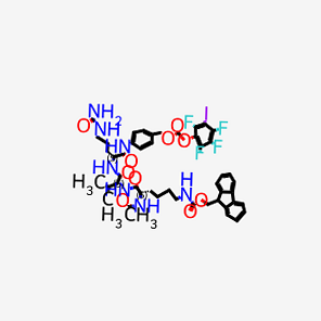 CC(=O)N[C@@H](CCCCNC(=O)OCC1c2ccccc2-c2ccccc21)C(=O)N[C@H](C(=O)N[C@@H](CCCNC(N)=O)C(=O)Nc1ccc(COC(=O)Oc2c(F)c(F)c(F)c(I)c2F)cc1)C(C)C